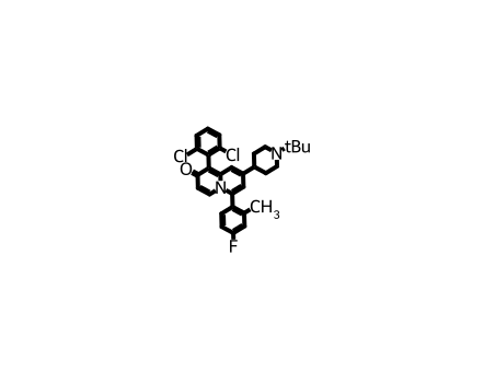 Cc1cc(F)ccc1-c1cc(C2CCN(C(C)(C)C)CC2)cc2c(-c3c(Cl)cccc3Cl)c(=O)ccn12